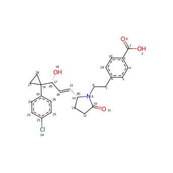 O=C(O)c1ccc(CCN2C(=O)CC[C@@H]2C=C[C@@H](O)C2(c3ccc(Cl)cc3)CC2)cc1